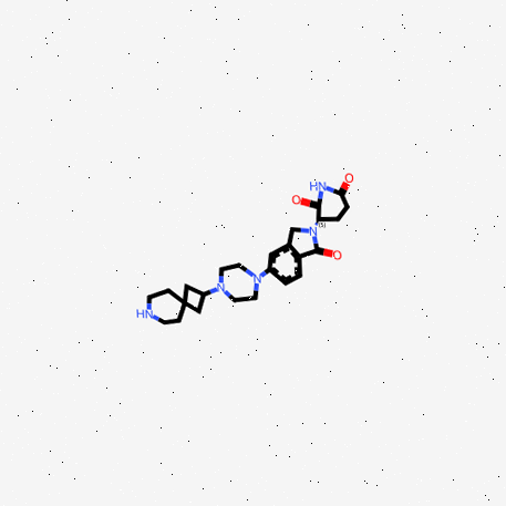 O=C1CC[C@H](N2Cc3cc(N4CCN(C5CC6(CCNCC6)C5)CC4)ccc3C2=O)C(=O)N1